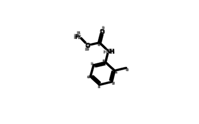 Cc1ccccc1NC(=O)OC(C)C